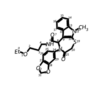 CCOCCCNC(=O)C1c2c(n(C)c3ccccc23)SCC(=O)N1c1ccc2c(c1)OCO2